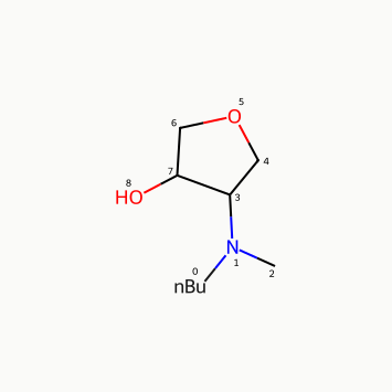 CCCCN(C)C1COCC1O